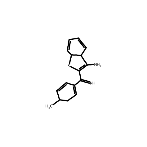 CC1C=CC(C(=N)C2=C(N)C3C=CC=CC3S2)=CC1